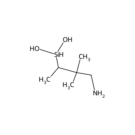 CC([SiH](O)O)C(C)(C)CN